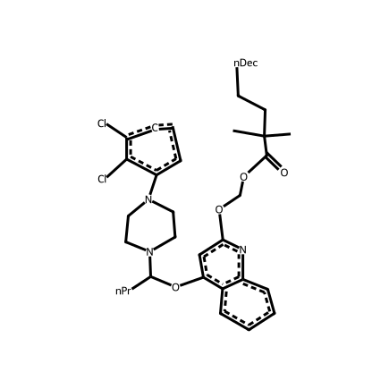 CCCCCCCCCCCCC(C)(C)C(=O)OCOc1cc(OC(CCC)N2CCN(c3cccc(Cl)c3Cl)CC2)c2ccccc2n1